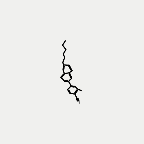 CCCCCCc1ccc2cc(-c3ccc(C#N)c(F)c3)ccc2c1